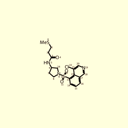 CSCCC(=O)NC1CCN(S(=O)(=O)c2cccc3cncc(Cl)c23)C1